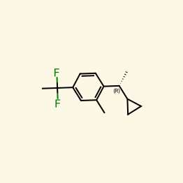 Cc1cc(C(C)(F)F)ccc1[C@H](C)C1CC1